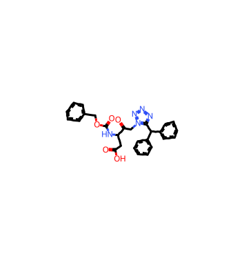 O=C(O)CC(NC(=O)OCc1ccccc1)C(=O)Cn1nnnc1C(c1ccccc1)c1ccccc1